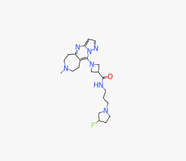 CN1CCc2nc3ccnn3c(N3CC(C(=O)NCCCN4CC[C@@H](F)C4)C3)c2CC1